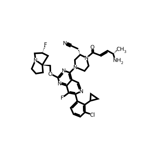 C[C@H](N)/C=C/C(=O)N1CCN(c2nc(OC[C@@]34CCCN3C[C@H](F)C4)nc3c(F)c(-c4cccc(Cl)c4C4CC4)ncc23)C[C@@H]1CC#N